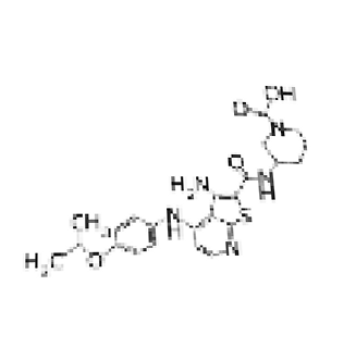 CC(C)Oc1ccc(Nc2ccnc3sc(C(=O)NC4CCCN(C(=O)O)C4)c(N)c23)cc1